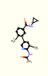 CC(=O)Nc1ncc(-c2cc(C(=O)NC3CC3)ccc2C)cc1C